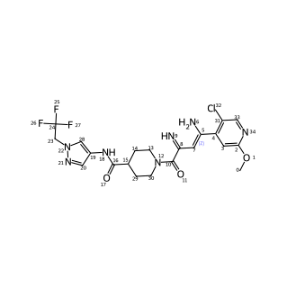 COc1cc(/C(N)=C/C(=N)C(=O)N2CCC(C(=O)Nc3cnn(CC(F)(F)F)c3)CC2)c(Cl)cn1